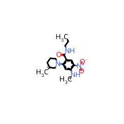 CCCNC(=O)c1cc([N+](=O)[O-])c(NC)cc1N1CCC[C@H](C)C1